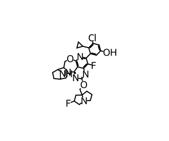 Oc1cc(Cl)c(C2CC2)c(-c2nc3c4c(nc(OCC56CCCN5CC(F)C6)nc4c2F)N2CC4CCC(N4)C2CO3)c1